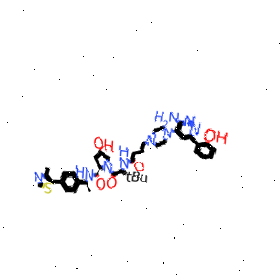 Cc1ncsc1-c1ccc([C@H](C)NC(=O)[C@@H]2C[C@@H](O)CN2C(=O)C(NC(=O)CCCN2CCN(c3cc(-c4ccccc4O)nnc3N)CC2)C(C)(C)C)cc1